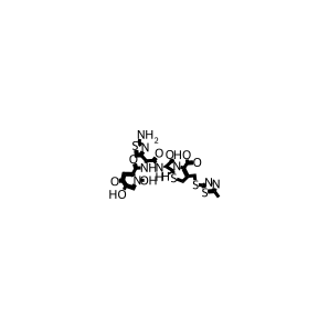 Cc1nnc(SCC2=C(C(=O)O)N3C(=O)[C@@H](NC(=O)C(NC(=O)c4cc(=O)c(O)cn4O)c4csc(N)n4)[C@H]3SC2)s1